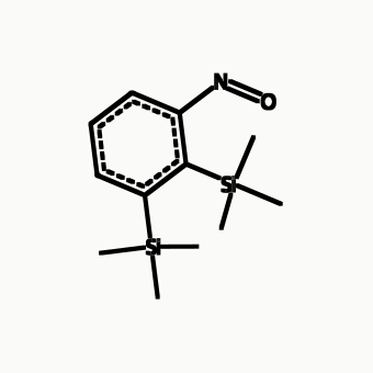 C[Si](C)(C)c1cccc(N=O)c1[Si](C)(C)C